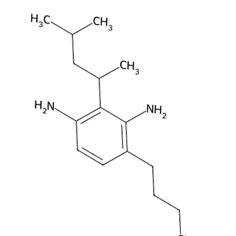 CCCCc1ccc(N)c(C(C)CC(C)C)c1N